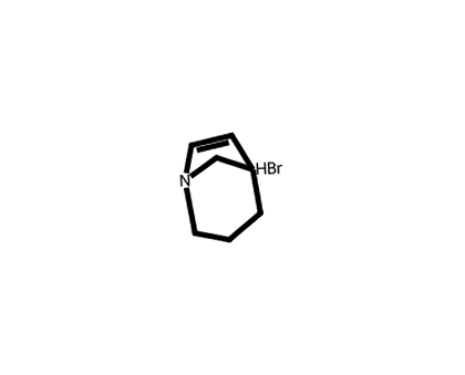 Br.C1=CN2CCCC1C2